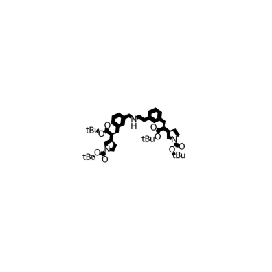 CC(C)(C)OC(=O)[C@@H](Cc1cccc(CCNCc2cccc(C[C@H](C(=O)OC(C)(C)C)[C@H]3CCN(C(=O)OC(C)(C)C)C3)c2)c1)[C@H]1CCN(C(=O)OC(C)(C)C)C1